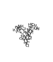 C[C@@H](CO)Nc1ncc2nc(Nc3c(Cl)cc(Cl)cc3Cl)n([C@H]3CC[C@](C)(C(N)=O)CC3)c2n1